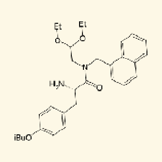 CCOC(CN(Cc1cccc2ccccc12)C(=O)[C@@H](N)Cc1ccc(OCC(C)C)cc1)OCC